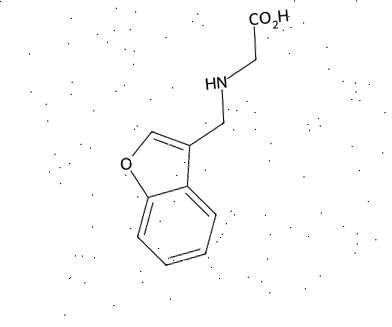 O=C(O)CNCc1coc2ccccc12